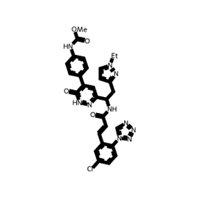 CCn1ccc(CC(NC(=O)C=Cc2cc(Cl)ccc2-n2cnnn2)c2cc(-c3ccc(NC(=O)OC)cc3)c(=O)[nH]n2)n1